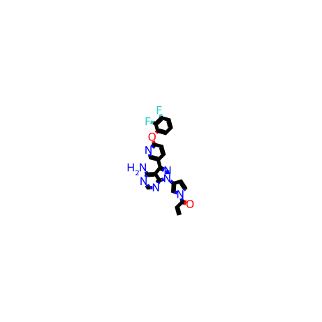 C=CC(=O)n1ccc(-n2nc(-c3ccc(Oc4cccc(F)c4F)nc3)c3c(N)ncnc32)c1